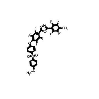 COc1ccc(S(=O)(=O)c2ccc(Oc3c(F)c(F)c(-c4nnc(-c5c(F)c(F)c(C)c(F)c5F)o4)c(F)c3F)cc2)cc1